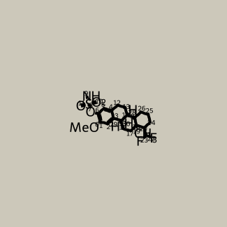 COc1cc2c(cc1OS(N)(=O)=O)CC[C@@H]1[C@@H]2CC[C@]2(C)C(C(F)F)CCC[C@@H]12